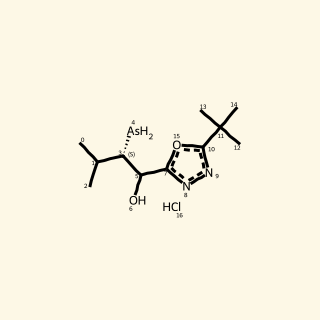 CC(C)[C@H]([AsH2])C(O)c1nnc(C(C)(C)C)o1.Cl